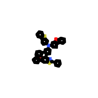 c1ccc(-c2nc3c(-c4ccc(N(c5ccc6c(c5)oc5ccccc56)c5ccc6c(c5)sc5ccccc56)cc4-c4ccccc4)c4oc5ccccc5c4cc3s2)cc1